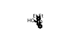 CCc1ccc(C(CCO)N2Cc3ccccc3C2=O)cc1CC